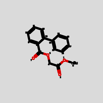 CCCCOC(=O)COC(=O)c1ccccc1-c1ccccc1